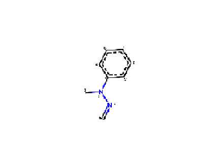 C=NN(C)c1ccccc1